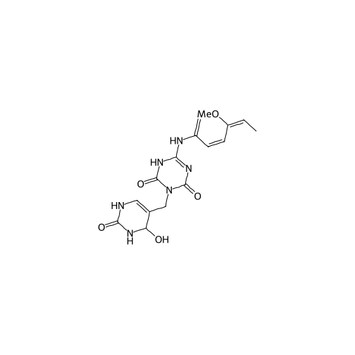 C=C(/C=C\C(=C/C)OC)Nc1nc(=O)n(CC2=CNC(=O)NC2O)c(=O)[nH]1